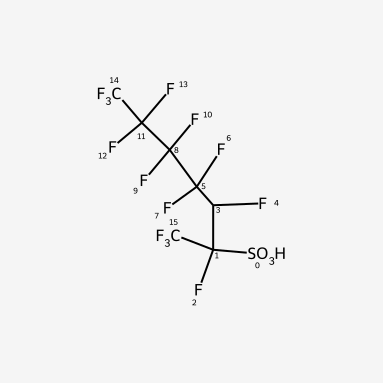 O=S(=O)(O)C(F)(C(F)C(F)(F)C(F)(F)C(F)(F)C(F)(F)F)C(F)(F)F